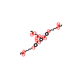 C=CC(=O)OCCCCCCOc1ccc(C(=O)Oc2ccc(OC(=O)c3ccc(OCCCCCCOC(=O)C=C)cc3)c(OC(=O)CCOC(=O)C=C)c2)cc1